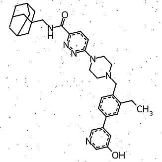 CCc1cc(-c2cncc(O)c2)ccc1CN1CCN(c2ccc(C(=O)NCC34CC5CC(CC(C5)C3)C4)nn2)CC1